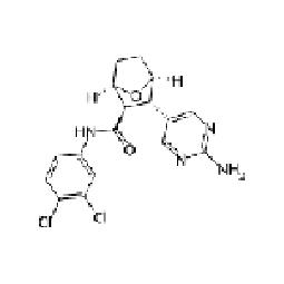 Nc1ncc([C@@H]2[C@@H](C(=O)Nc3ccc(Cl)c(Cl)c3)[C@H]3CC[C@@H]2O3)cn1